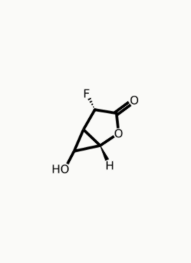 O=C1O[C@@H]2C(O)C2[C@@H]1F